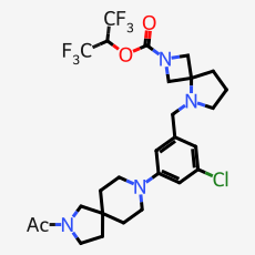 CC(=O)N1CCC2(CCN(c3cc(Cl)cc(CN4CCCC45CN(C(=O)OC(C(F)(F)F)C(F)(F)F)C5)c3)CC2)C1